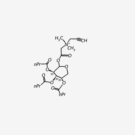 C#CC[N+](C)(C)CC(=O)OC1OC[C@@H](OC(=O)CCC)[C@@H](OC(=O)CCC)[C@H]1OC(=O)CCC